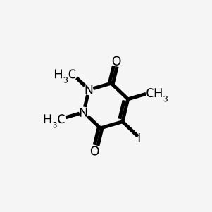 Cc1c(I)c(=O)n(C)n(C)c1=O